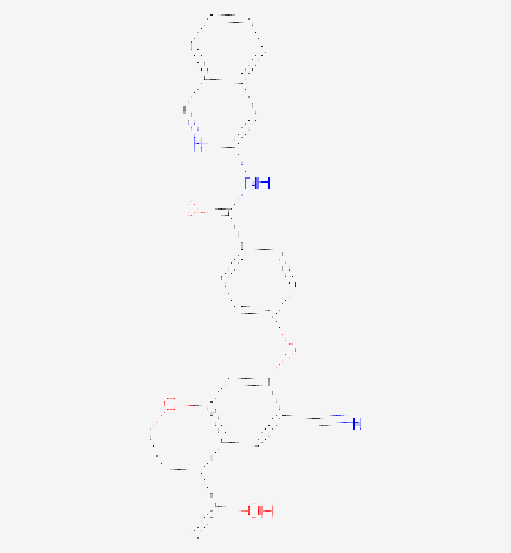 C=C(O)C1CCOc2cc(Oc3ccc(C(=O)Nc4cc5ccccc5cn4)cc3)c(C#N)cc21